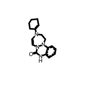 O=C1Nc2ccccc2N2CCN(C3=CCCCC3)C=CN12